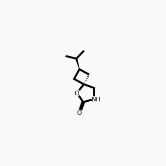 CC(C)[C@H]1C[C@@]2(CNC(=O)O2)C1